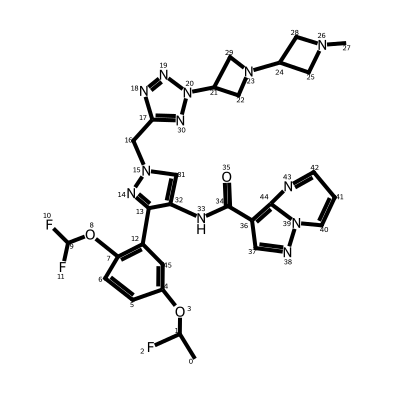 CC(F)Oc1ccc(OC(F)F)c(-c2nn(Cc3nnn(C4CN(C5CN(C)C5)C4)n3)cc2NC(=O)c2cnn3cccnc23)c1